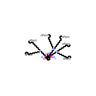 CCCCC/C=C\C/C=C\CCCCCCCCN(CCCCCCCC/C=C\C/C=C\CCCCC)CCCCCCC1C2(C(N)=O)CC3CC(C(N)=O)(C2)C(CCCCCCN(CCCCCCCC/C=C\C/C=C\CCCCC)CCCCCCCC/C=C\C/C=C\CCCCC)(CCCCCCN(CCCCCCCC/C=C\C/C=C\CCCCC)CCCCCCCC/C=C\C/C=C\CCCCC)C1(C(N)=O)C3